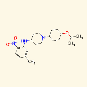 Cc1ccc([N+](=O)[O-])c(NC2CCN([C@H]3CC[C@H](OC(C)C)CC3)CC2)c1